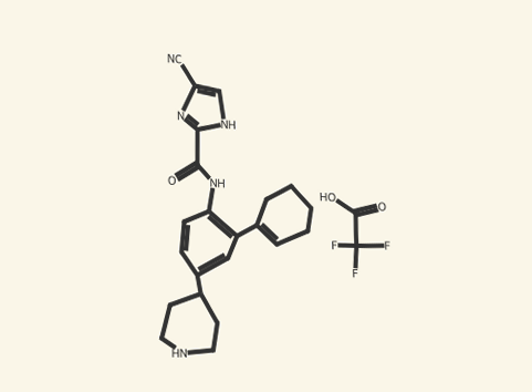 N#Cc1c[nH]c(C(=O)Nc2ccc(C3CCNCC3)cc2C2=CCCCC2)n1.O=C(O)C(F)(F)F